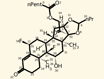 CCCCCC(=O)OCC(=O)[C@@]12OC(CCC)O[C@@H]1C[C@H]1[C@@H]3C[C@H](F)C4=CC(=O)CC[C@]4(C)[C@@]3(F)[C@@H](O)C[C@@]12C